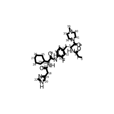 CCC(=O)N[C@H](Cc1ccc(NC(=O)[C@@H](NC(=O)Cc2c[nH]cn2)C2CCCCC2)c(F)c1)C(=O)N1CCN(C)CC1